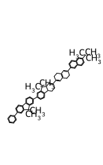 CC(C)(C)c1ccc2cc(C3=CC4=C(C=C(C5=CC6C(CC5)c5ccc(-c7ccc8c(c7)C(C)(C)c7cc(-c9ccccc9)ccc7-8)cc5C6(C)C)CC4)CC3)ccc2c1